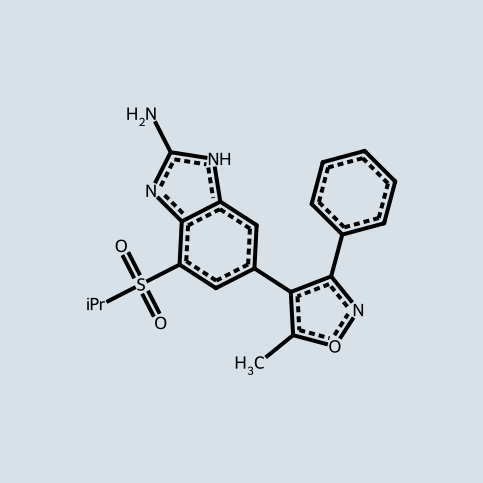 Cc1onc(-c2ccccc2)c1-c1cc(S(=O)(=O)C(C)C)c2nc(N)[nH]c2c1